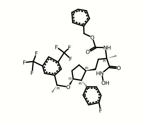 C[C@@H](O[C@H]1CC[C@@H](CC[C@@](C)(NC(=O)OCc2ccccc2)C(=O)NO)[C@@H]1c1ccc(F)cc1)c1cc(C(F)(F)F)cc(C(F)(F)F)c1